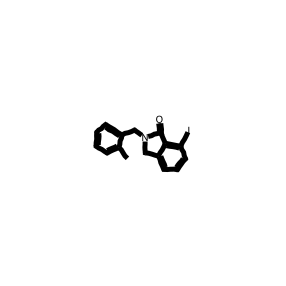 Cc1ccccc1CN1Cc2cccc(I)c2C1=O